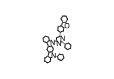 c1ccc(-c2nc(-c3ccc4c(c3)oc3ccccc34)cc(-n3c4ccccc4c4cc5c6ccccc6n(-c6ccccc6)c5cc43)n2)cc1